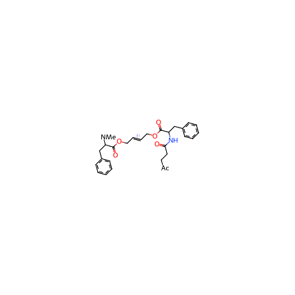 CNC(Cc1ccccc1)C(=O)OC/C=C/COC(=O)C(Cc1ccccc1)NC(=O)CCC(C)=O